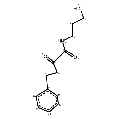 CCCCNC(=O)C(=O)[CH]Cc1ccccc1